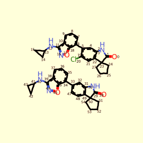 O=C1Nc2cc(-c3cccc4c(NC5CC5)noc34)c(Cl)cc2C12CCCC2.O=C1Nc2cc(-c3cccc4c(NC5CC5)noc34)ccc2C12CCCC2